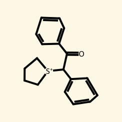 O=C(c1ccccc1)C(c1ccccc1)[S+]1CCCC1